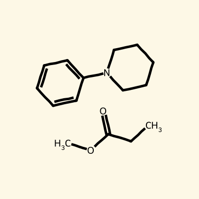 CCC(=O)OC.c1ccc(N2CCCCC2)cc1